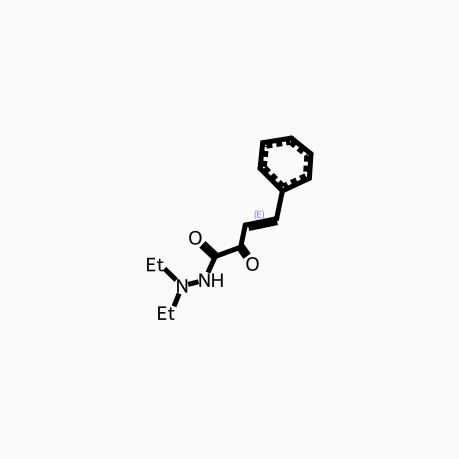 CCN(CC)NC(=O)C(=O)/C=C/c1ccccc1